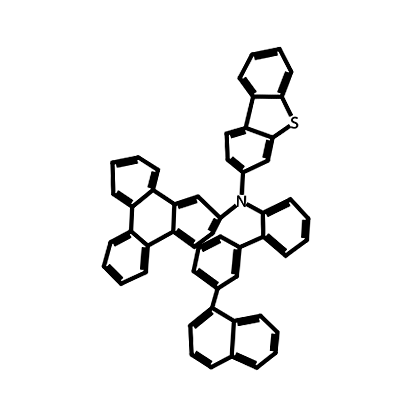 c1cc(-c2ccccc2N(c2ccc3c(c2)sc2ccccc23)c2ccc3c4ccccc4c4ccccc4c3c2)cc(-c2cccc3ccccc23)c1